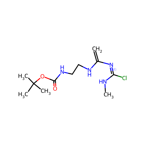 C=C(/N=C(/Cl)NC)NCCNC(=O)OC(C)(C)C